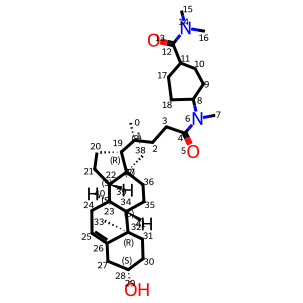 C[C@H](CCC(=O)N(C)C1CCC(C(=O)N(C)C)CC1)[C@H]1CC[C@H]2[C@@H]3CC=C4C[C@@H](O)CC[C@]4(C)[C@H]3CC[C@]12C